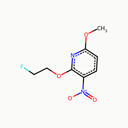 COc1ccc([N+](=O)[O-])c(OCCF)n1